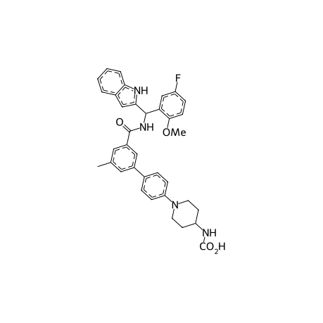 COc1ccc(F)cc1C(NC(=O)c1cc(C)cc(-c2ccc(N3CCC(NC(=O)O)CC3)cc2)c1)c1cc2ccccc2[nH]1